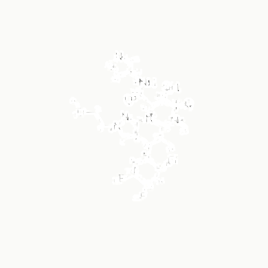 COCCn1cc(C(c2cc(F)c(F)cc2Cl)C(C)c2nc(C(=O)Nc3cnoc3)c(O)c(=O)n2C)cn1